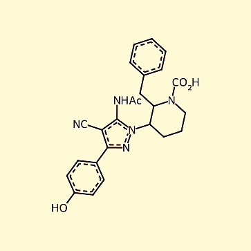 CC(=O)Nc1c(C#N)c(-c2ccc(O)cc2)nn1C1CCCN(C(=O)O)C1Cc1ccccc1